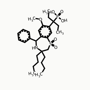 CCCCC1(CCCC)CS(=O)(=O)c2cc(C(CC)(CC)P(=O)(O)O)c(OC)cc2C(c2ccccc2)N1